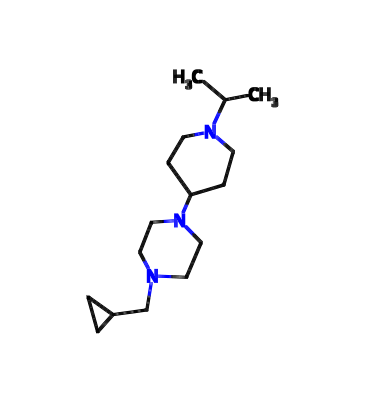 CC(C)N1CCC(N2CCN(CC3CC3)CC2)CC1